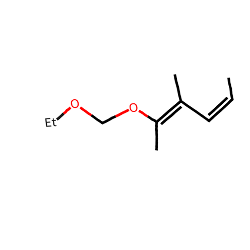 C/C=C\C(C)=C(/C)OCOCC